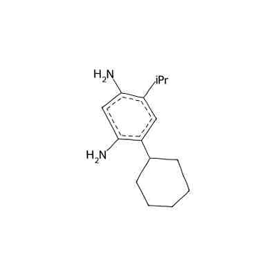 CC(C)c1cc(C2CCCCC2)c(N)cc1N